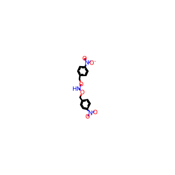 O=[N+]([O-])c1ccc(CONOCc2ccc([N+](=O)[O-])cc2)cc1